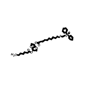 CCCCCCC(=O)O[C@@H]1COC2C1OC[C@@H]2OC(=O)CCCCCCCCCCSCCOP(=O)(c1ccccc1)c1ccccc1